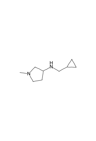 CN1CCC(NCC2CC2)C1